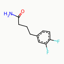 NC(=O)CCCc1ccc(F)c(F)c1